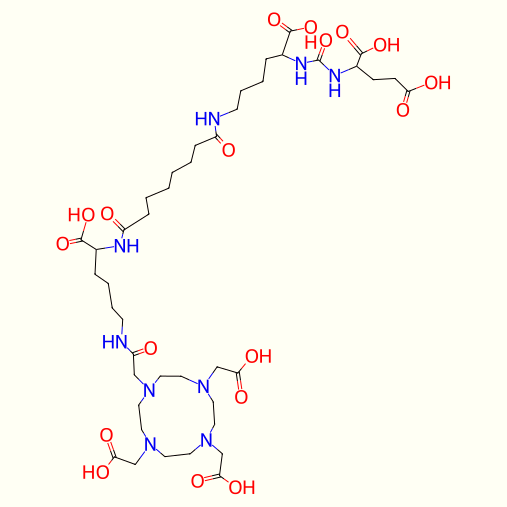 O=C(O)CCC(NC(=O)NC(CCCCNC(=O)CCCCCCC(=O)NC(CCCCNC(=O)CN1CCN(CC(=O)O)CCN(CC(=O)O)CCN(CC(=O)O)CC1)C(=O)O)C(=O)O)C(=O)O